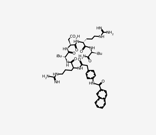 CC[C@H](C)[C@H](NC(=O)[C@@H](CCCNC(=N)N)NC(=O)[C@H](CC(=O)O)NC(=O)[C@@H](NC(=O)C(CCCNC(=N)N)NC(=O)Cc1ccc(NC(=O)c2ccc3ccccc3c2)cc1)[C@@H](C)CC)C(N)=O